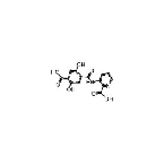 O=C(O)c1cc(O)c(C(=O)Nc2cccnc2C(=O)O)cc1O